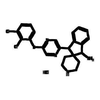 Cl.NC1c2ccccc2C(c2cnc(Sc3cccc(Cl)c3Cl)cn2)C12CCNCC2